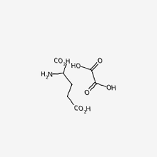 NC(CCC(=O)O)C(=O)O.O=C(O)C(=O)O